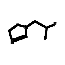 FC(F)CN1[C]CN=[C]1